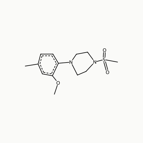 COc1cc(C)ccc1N1CCN(S(C)(=O)=O)CC1